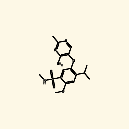 CNS(=O)(=O)c1cc(Oc2cnc(C)nc2N)c(C(C)C)cc1OC